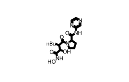 CCCCC(C(=O)N1CCCC1C(=O)Nc1cnccn1)C(O)C(=O)NO